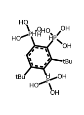 CC(C)(C)c1[c]c([PH](O)(O)O)c([PH](O)(O)O)c(C(C)(C)C)c1[PH](O)(O)O